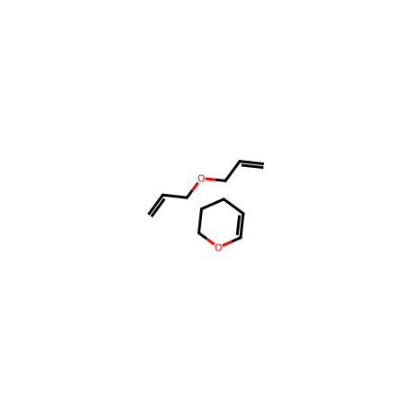 C1=COCCC1.C=CCOCC=C